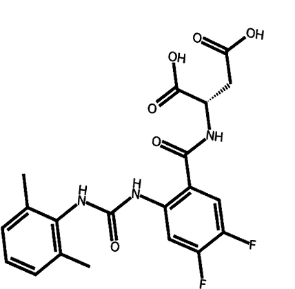 Cc1cccc(C)c1NC(=O)Nc1cc(F)c(F)cc1C(=O)N[C@@H](CC(=O)O)C(=O)O